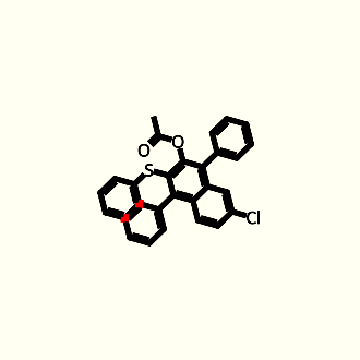 CC(=O)Oc1c(Sc2ccccc2)c(-c2ccccc2)c2ccc(Cl)cc2c1-c1ccccc1